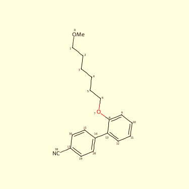 [CH2]OCCCCCCOc1ccccc1-c1ccc(C#N)cc1